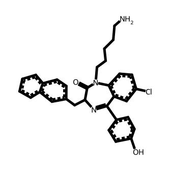 NCCCCCN1C(=O)C(Cc2ccc3ccccc3c2)N=C(c2ccc(O)cc2)c2cc(Cl)ccc21